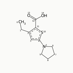 CCc1cc(N2CCCC2)sc1C(=O)O